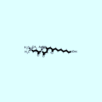 CCCCCCCCCCCCCCCCC(=O)CC(CC(=O)P(O)C(=O)CC[N+](C)(C)C)NC(C)=O